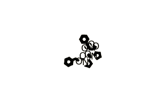 O=C(CS(=O)(=O)c1ccccc1)[C@@H]1CCCN1C(=O)[C@H]1CCCN1C(=O)OCc1ccccc1